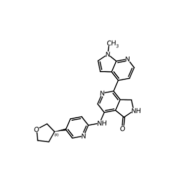 Cn1ccc2c(-c3ncc(Nc4ccc([C@H]5CCOC5)cn4)c4c3CNC4=O)ccnc21